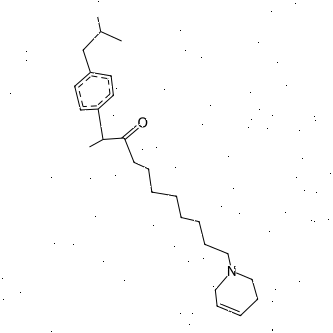 CC(C)Cc1ccc(C(C)C(=O)CCCCCCCCN2CC=CCC2)cc1